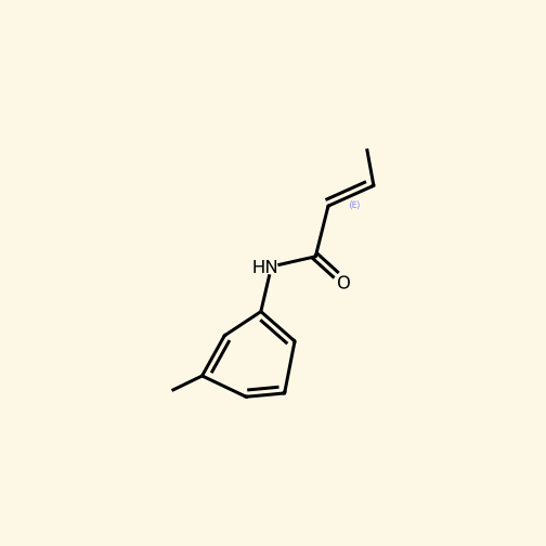 C/C=C/C(=O)Nc1cccc(C)c1